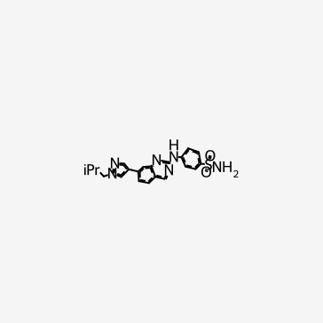 CC(C)Cn1cc(-c2ccc3cnc(Nc4ccc(S(N)(=O)=O)cc4)nc3c2)cn1